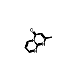 Cc1cc(=O)n2cccnc2n1